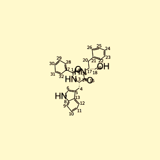 O=C(N[C@@H](Cc1c[nH]c2ccccc12)C(=O)N[C@@H](CO)Cc1ccccc1)c1ccccc1